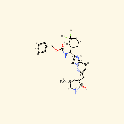 O=C(N[C@H](c1cn2nc(CC3C[C@@H](C(F)(F)F)CNC3=O)ccc2n1)[C@@H]1CCCC(F)(F)C1)OCc1ccccc1